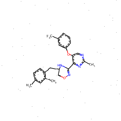 Cc1ccc(CC2CON=C(c3nc(C)ncc3Oc3cccc(C(F)(F)F)c3)N2)c(C)c1